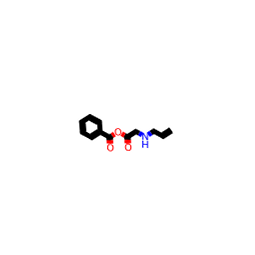 C=CCNCC(=O)OC(=O)c1ccccc1